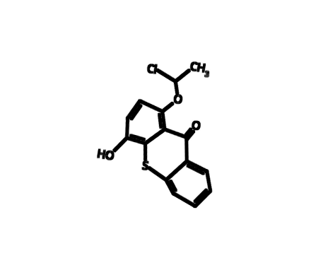 CC(Cl)Oc1ccc(O)c2sc3ccccc3c(=O)c12